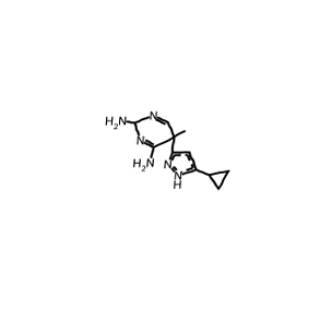 CC1(c2cc(C3CC3)[nH]n2)C=NC(N)N=C1N